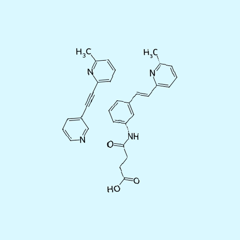 Cc1cccc(C#Cc2cccnc2)n1.Cc1cccc(C=Cc2cccc(NC(=O)CCC(=O)O)c2)n1